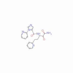 NC(=O)C(=O)C(CCc1ccccn1)NC(=O)c1cncn1-c1ccccn1